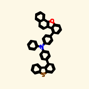 c1ccc(N(c2ccc(-c3cccc4oc5c6ccccc6ccc5c34)cc2)c2ccc(-c3cccc4sc5ccccc5c34)cc2)cc1